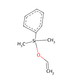 C=CO[Si](C)(C)c1ccccc1